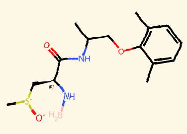 BN[C@@H](C[S+](C)[O-])C(=O)NC(C)COc1c(C)cccc1C